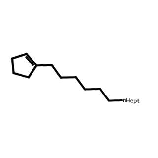 CCCCCCCCCCCC[CH]C1=CCCC1